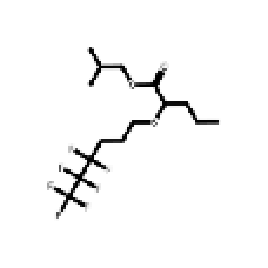 CCCC(SCCCC(F)(F)C(F)(F)C(F)(F)F)C(=O)OCC(C)C